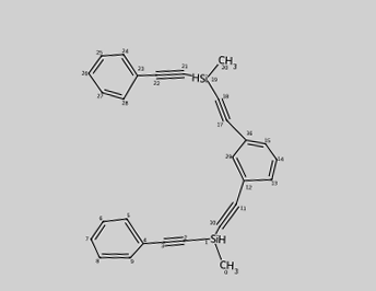 C[SiH](C#Cc1ccccc1)C#Cc1cccc(C#C[SiH](C)C#Cc2ccccc2)c1